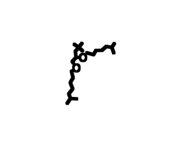 CC(C)CCCCCOCC(CC(C)(C)C)OCCCCCC(C)C